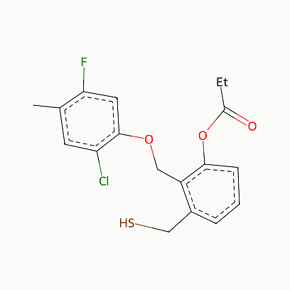 CCC(=O)Oc1cccc(CS)c1COc1cc(F)c(C)cc1Cl